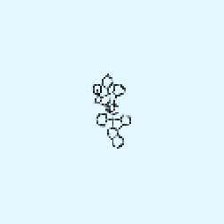 c1ccc(C2(c3cccc(-c4cccc5c4C4(c6ccccc6O5)c5ccccc5-c5ccccc54)c3)c3ccccc3-c3c2ccc2ccccc32)cc1